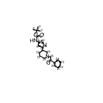 CC(C)(C)OC(=O)Nc1cc(C2CCCN(CC(=O)c3ccccc3)C2)ns1